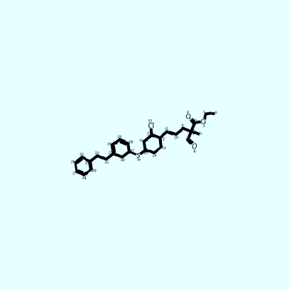 CCOC(=O)C(C)(C=O)CCCC1CCC(SC2C=CC=C(CCC3C=CC=CC3)C2)CC1Cl